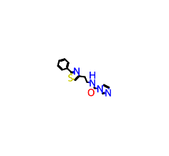 O=C(NCCc1csc(-c2ccccc2)n1)n1ccnc1